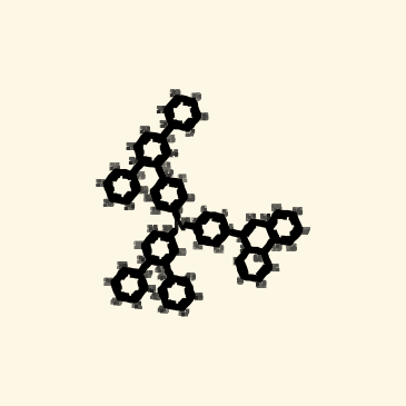 C1=CC2C(c3ccc(N(c4ccc(-c5cc(-c6ccccc6)ccc5-c5ccccc5)cc4)c4ccc(-c5ccccc5)c(-c5ccccc5)c4)cc3)=Cc3ccccc3C2C=C1